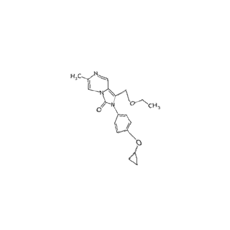 CCOCc1c2cnc(C)cn2c(=O)n1-c1ccc(OC2CC2)cc1